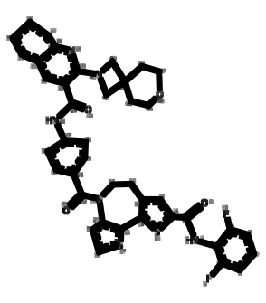 O=C(Nc1c(F)cccc1F)c1cc2c(s1)-c1sccc1N(C(=O)c1ccc(NC(=O)c3cc4ccccc4nc3N3CC4(CCOCC4)C3)cc1)CC2